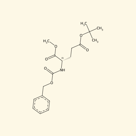 COC(=O)[C@H](CCC(=O)OC(C)(C)C)NC(=O)OCc1ccccc1